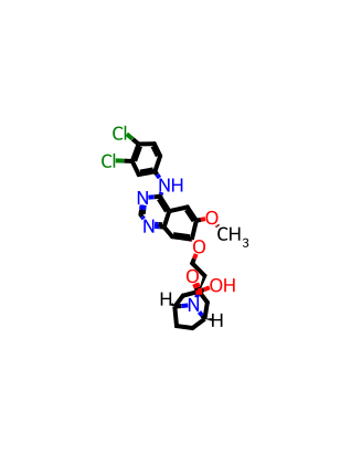 COc1cc2c(Nc3ccc(Cl)c(Cl)c3)ncnc2cc1OCC[C@H]1C[C@H]2CC[C@@H](C1)N2C(=O)O